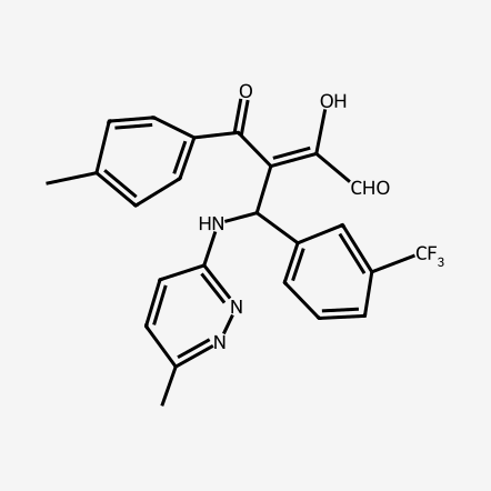 Cc1ccc(C(=O)/C(=C(\O)C=O)C(Nc2ccc(C)nn2)c2cccc(C(F)(F)F)c2)cc1